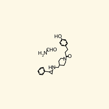 NC=O.O=C(CCc1ccc(O)cc1)N1CCC(CNC2CC2c2ccccc2)CC1